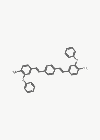 Nc1ccc(C=Cc2ccc(C=Cc3ccc(N)c(Oc4ccccc4)c3)cc2)cc1Oc1ccccc1